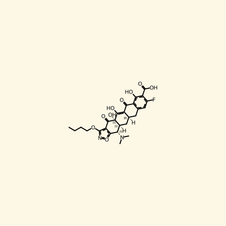 CCCCOc1noc2c1C(=O)[C@@]1(O)C(O)=C3C(=O)c4c(cc(F)c(C(=O)O)c4O)C[C@H]3C[C@H]1[C@@H]2N(C)C